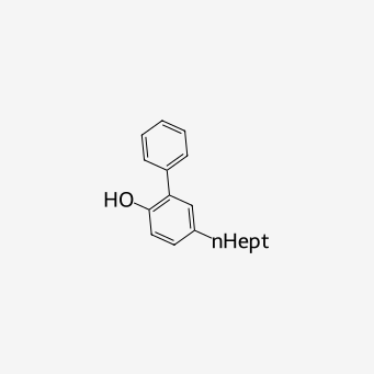 CCCCCCCc1ccc(O)c(-c2ccccc2)c1